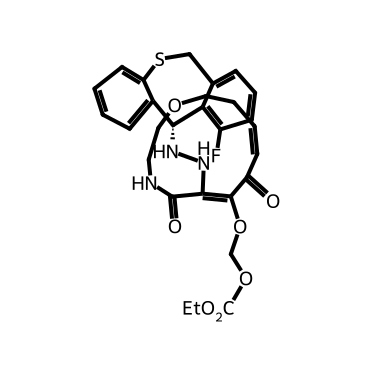 CCOC(=O)OCO/C1=C(/NN[C@@H]2c3ccccc3SCc3cccc(F)c32)C(=O)NCCOCC/C=C\C1=O